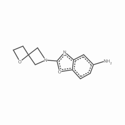 Nc1ccc2oc(N3CC4(CCO4)C3)nc2c1